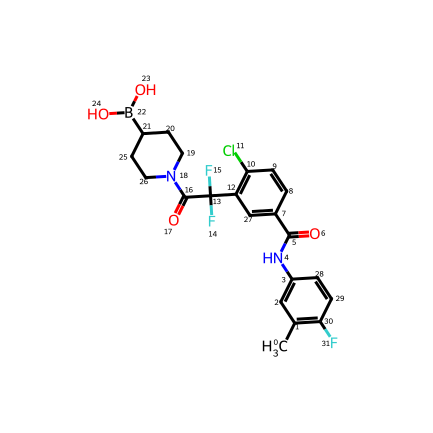 Cc1cc(NC(=O)c2ccc(Cl)c(C(F)(F)C(=O)N3CCC(B(O)O)CC3)c2)ccc1F